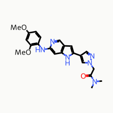 COc1ccc(Nc2cc3[nH]c(-c4cnn(CC(=O)N(C)C)c4)cc3cn2)c(OC)c1